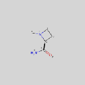 CN1CC[C@H]1C(N)=O